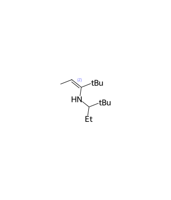 C/C=C(\NC(CC)C(C)(C)C)C(C)(C)C